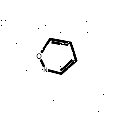 C1=C[N]OC=C1